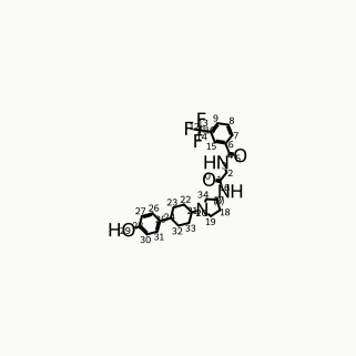 O=C(CNC(=O)c1cccc(C(F)(F)F)c1)N[C@@H]1CCN(C2CCC(c3ccc(O)cc3)CC2)C1